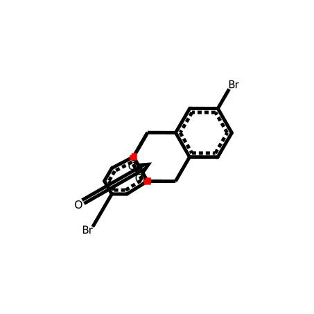 O=C1OC2C3c4ccc(Br)cc4C(c4ccc(Br)cc43)C2O1